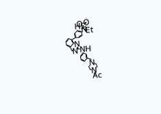 CCN(c1ccc(-c2cccc3cnc(Nc4cccc(CN5CCN(C(C)=O)CC5)c4)nc23)cc1)[SH](=O)=O